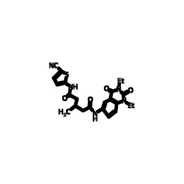 CCn1c(=O)c2cc(NC(=O)CC(C)CC(=O)Nc3ccc(C#N)s3)ccc2n(CC)c1=O